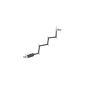 C#CCCCCCS[CH2]